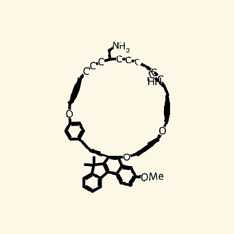 COc1ccc2c3c(c4c(c2c1)Oc1ccc(cc1)Oc1ccc(cc1)C1CCC(CCCC(CN)CCCc2ccc(cc2)Oc2ccc(cc2)/C=C\4)CN1)C(C)(C)c1ccccc1-3